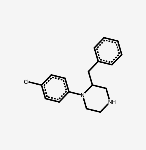 Clc1ccc(N2CCNCC2Cc2ccccc2)cc1